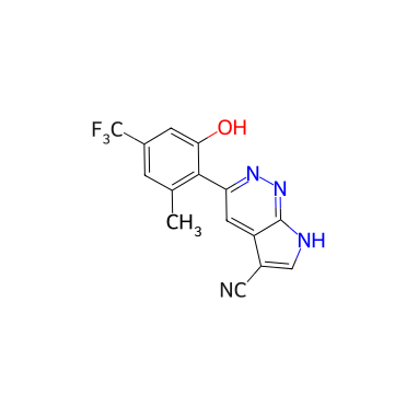 Cc1cc(C(F)(F)F)cc(O)c1-c1cc2c(C#N)c[nH]c2nn1